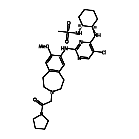 COc1cc2c(cc1Nc1ncc(Cl)c(N[C@@H]3CCCC[C@H]3NS(C)(=O)=O)n1)CCN(CC(=O)N1CCCC1)CC2